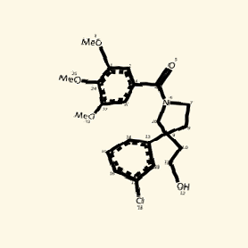 COc1cc(C(=O)N2CCC(CCO)(c3cccc(Cl)c3)C2)cc(OC)c1OC